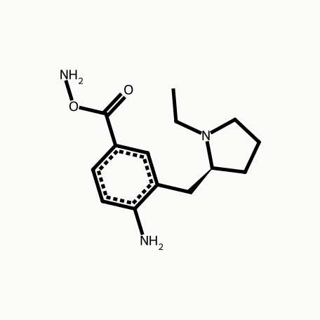 CCN1CCC[C@H]1Cc1cc(C(=O)ON)ccc1N